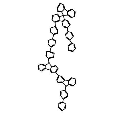 c1ccc(-c2ccc(-c3ccc(C4(c5cccc(-c6ccc(-c7ccc(-c8ccc(-n9c%10ccccc%10c%10cc(-c%11ccc%12c(c%11)c%11ccccc%11n%12-c%11ccc(-c%12ccccc%12)cc%11)ccc%109)cc8)cc7)cc6)c5)c5ccccc5-c5ccccc54)cc3)cc2)cc1